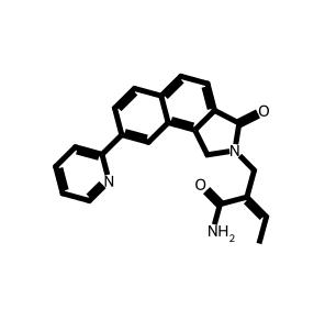 CC=C(CN1Cc2c(ccc3ccc(-c4ccccn4)cc23)C1=O)C(N)=O